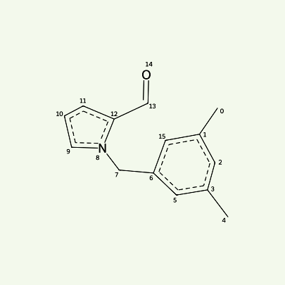 Cc1cc(C)cc(Cn2cccc2C=O)c1